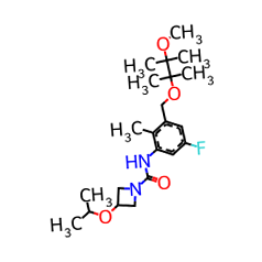 COC(C)(C)C(C)(C)OCc1cc(F)cc(NC(=O)N2CC(OC(C)C)C2)c1C